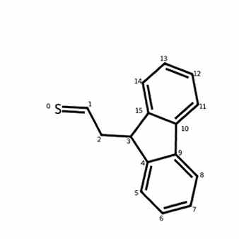 S=CCC1c2ccccc2-c2ccccc21